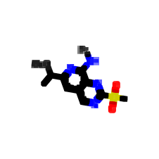 COC(C)c1cc2cnc(S(C)(=O)=O)nc2c(NC(C)C)n1